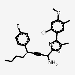 CCCC[C@H](C#CC(N)c1nc(-c2cc(C)c(OC)cc2Cl)c(C)s1)c1ccc(F)cc1